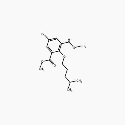 COC(=O)c1cc(Br)cc(NSC)c1OCCCN(C)C